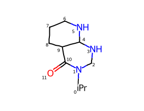 CC(C)N1CNC2NCCCC2C1=O